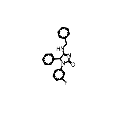 O=C1N=C(NCc2ccccc2)C(c2ccccc2)N1c1cccc(F)c1